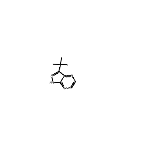 CC(C)(C)c1n[nH]c2nccnc12